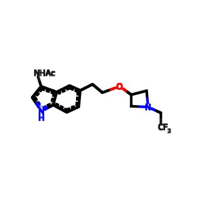 CC(=O)Nc1c[nH]c2ccc(CCOC3CN(CC(F)(F)F)C3)cc12